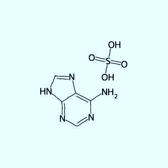 Nc1ncnc2[nH]cnc12.O=S(=O)(O)O